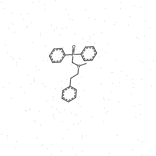 CN(CCc1ccccc1)CP(=O)(c1ccccc1)c1ccccc1